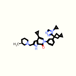 C[C@H]1CCCN(Cc2cc3c(C4CC4)cn(-c4cccc(C5(c6nncn6C6CC6)CC6(CC6)C5)c4)c(=O)c3[nH]2)C1